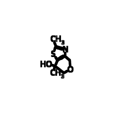 Cc1nc2c(s1)C(C)(O)COC2